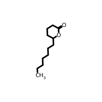 CCCCCCCC1CCCC(=O)O1